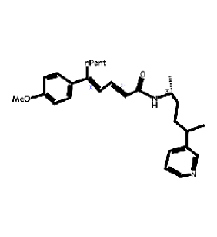 CCCCC/C(=C\C=C\C(=O)N[C@H](C)CCC(C)c1cccnc1)c1ccc(OC)cc1